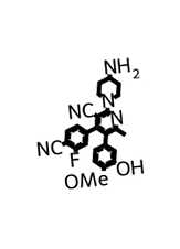 COc1ccc(-c2c(C)nc(N3CCC(N)CC3)c(C#N)c2-c2ccc(C#N)c(F)c2)cc1O